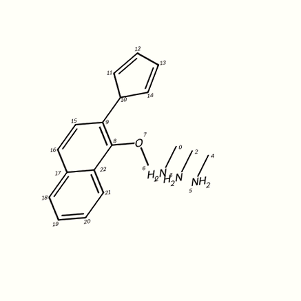 CN.CN.CN.COc1c(C2C=CC=C2)ccc2ccccc12